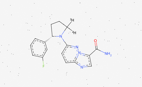 [2H]C1([2H])CC[C@@H](c2cccc(F)c2)N1c1ccc2ncc(C(N)=O)n2n1